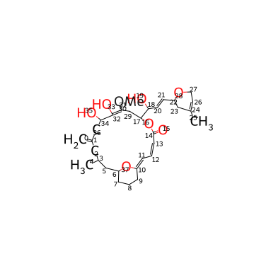 C=C1CC(C)CC2CCC/C(=C\C=C/C(=O)OC(C(O)C=CC3CC(C)=CCO3)C/C(OC)=C(/O)C(O)C1)O2